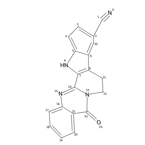 N#Cc1ccc2[nH]c3c(c2c1)CCn1c-3nc2ccccc2c1=O